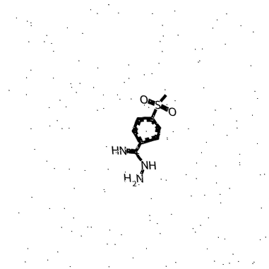 CS(=O)(=O)c1ccc(C(=N)NN)cc1